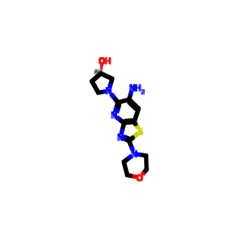 Nc1cc2sc(N3CCOCC3)nc2nc1N1CC[C@H](O)C1